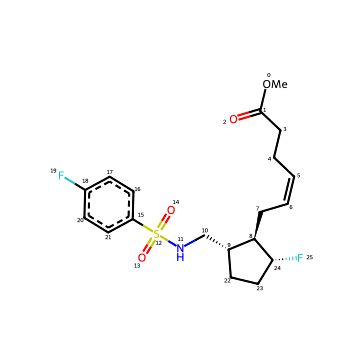 COC(=O)CC/C=C\C[C@@H]1[C@@H](CNS(=O)(=O)c2ccc(F)cc2)CC[C@H]1F